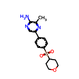 Cc1nc(-c2ccc(S(=O)(=O)C3CCOCC3)cc2)cnc1N